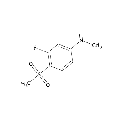 CNc1ccc(S(C)(=O)=O)c(F)c1